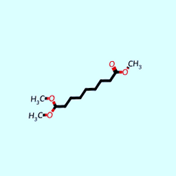 COC(=O)CCCCCCCC(OC)OC